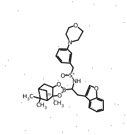 CC1(C)C2CC3OB(C(Cc4coc5ccccc45)N[S+]([O-])Cc4cccc(N5CCOCC5)c4)O[C@@]3(C)C1C2